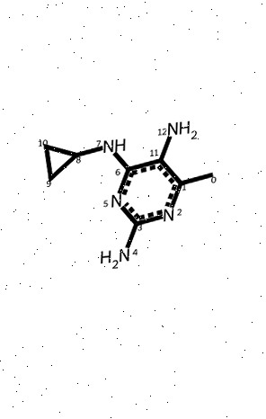 Cc1nc(N)nc(NC2CC2)c1N